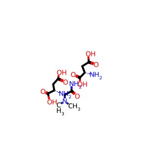 CN(C)CC(N)=O.N[C@@H](CC(=O)O)C(=O)O.N[C@@H](CC(=O)O)C(=O)O